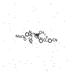 COC(=O)c1ccc2nc(CN3CCN(c4cccc(OCc5ccc(C#N)cc5F)n4)[C@H]4[C@@H](C)[C@H]43)n(Cc3cncs3)c2c1